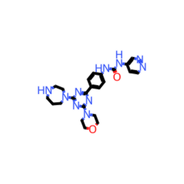 O=C(Nc1ccc(-c2nc(N3CCCNCC3)nc(N3CCOCC3)n2)cc1)Nc1ccnnc1